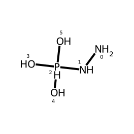 NN[PH](O)(O)O